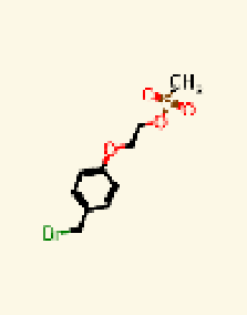 CS(=O)(=O)OCCOc1ccc(CBr)cc1